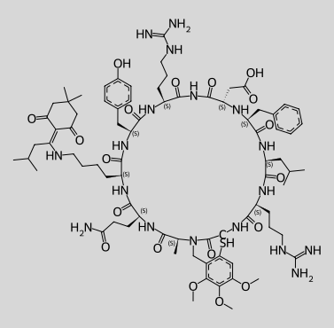 COc1cc(S)c(CN2C(=O)CNC(=O)[C@H](CCCNC(=N)N)NC(=O)[C@H](CC(C)C)NC(=O)[C@H](Cc3ccccc3)N[C@@H](CC(=O)O)C(=O)NC(=O)[C@H](CCCNC(=N)N)NC(=O)[C@H](Cc3ccc(O)cc3)NC(=O)[C@H](CCCCNC(CC(C)C)=C3C(=O)CC(C)(C)CC3=O)NC(=O)[C@H](CCC(N)=O)NC(=O)[C@@H]2C)c(OC)c1OC